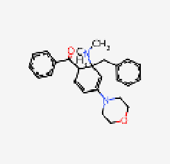 CN(C)C1(Cc2ccccc2)C=C(N2CCOCC2)C=CC1C(=O)c1ccccc1